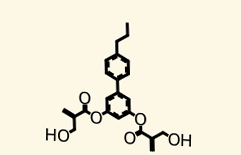 C=C(CO)C(=O)Oc1cc(OC(=O)C(=C)CO)cc(-c2ccc(CCC)cc2)c1